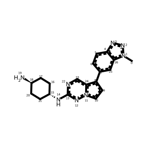 Cn1nnc2ccc(-c3ccn4nc(N[C@H]5CC[C@H](N)CC5)ncc34)cc21